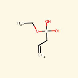 C=CC[Si](O)(O)OCC